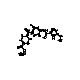 Cc1cc(NC(=O)c2ncc(CBr)[nH]2)ccc1C(=O)N1CCN(C(=O)OC(C)(C)C)CC1